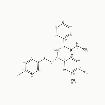 CNC(=O)[C@H](N[C@@H](CCc1ccc(Cl)nc1)c1ccc(F)c(C)c1)c1ccccc1